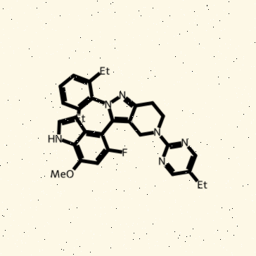 CCc1cnc(N2CCc3nn(-c4c(CC)cccc4CC)c(-c4c(F)cc(OC)c5[nH]ccc45)c3C2)nc1